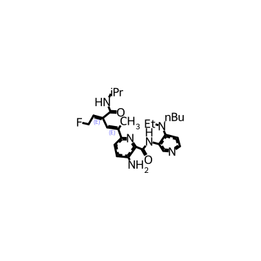 CCCCN(CC)c1ccncc1NC(=O)c1nc(/C(C)=C/C(=C\CF)C(=O)NC(C)C)ccc1N